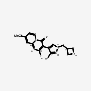 COc1ccn2c(=O)c(-c3cn(CC4COC4)nc3I)c(C(F)(F)F)nc2c1